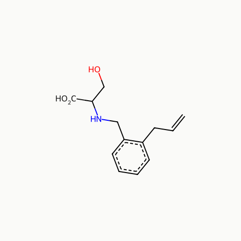 C=CCc1ccccc1CNC(CO)C(=O)O